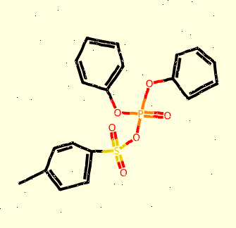 Cc1ccc(S(=O)(=O)OP(=O)(Oc2ccccc2)Oc2ccccc2)cc1